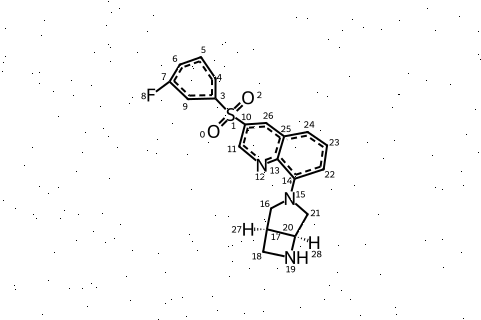 O=S(=O)(c1cccc(F)c1)c1cnc2c(N3C[C@@H]4CN[C@@H]4C3)cccc2c1